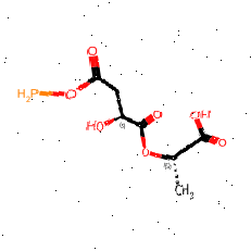 C[C@H](OC(=O)[C@@H](O)CC(=O)OP)C(=O)O